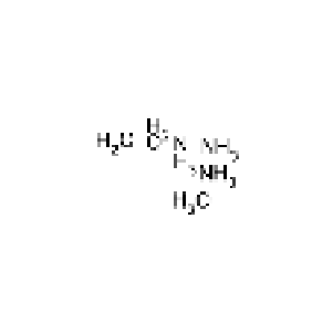 N.N.N.O.O.O